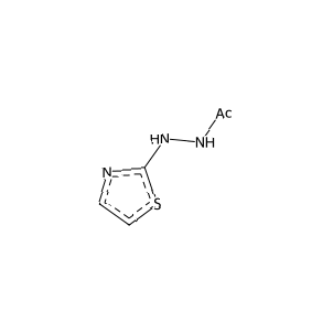 CC(=O)NNc1nccs1